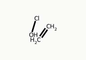 C=C.OCl